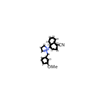 COc1cccc(CN2CCCN2c2ccc(C#N)c3ccccc23)c1